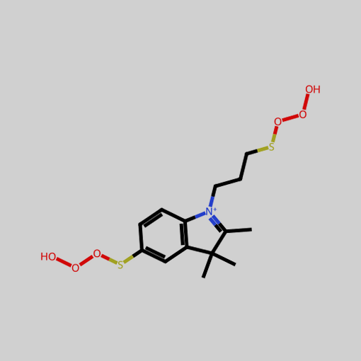 CC1=[N+](CCCSOOO)c2ccc(SOOO)cc2C1(C)C